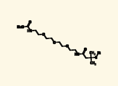 CCSC(C)(C)CC(=O)NCCOCCOCCOCCNC(=O)OCC(C)C